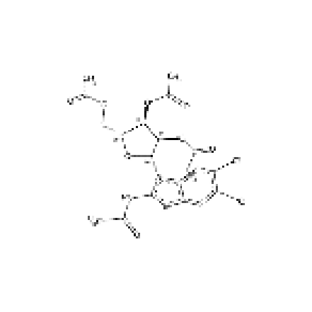 CC(=O)Nc1nc2cc(Cl)c(Cl)cc2n1[C@@H]1O[C@H](COC(C)=O)[C@@H](OC(C)=O)[C@H]1OC(C)=O